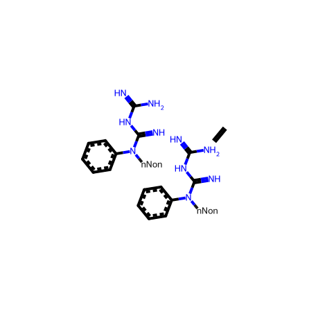 C=C.CCCCCCCCCN(C(=N)NC(=N)N)c1ccccc1.CCCCCCCCCN(C(=N)NC(=N)N)c1ccccc1